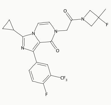 CC1(F)CN(C(=O)Cn2ccn3c(C4CC4)nc(-c4ccc(F)c(C(F)(F)F)c4)c3c2=O)C1